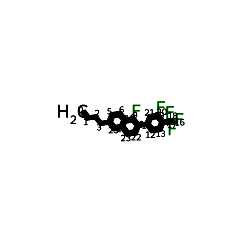 C=CCCc1ccc2c(F)c(-c3ccc(C(F)(F)F)c(F)c3)ccc2c1